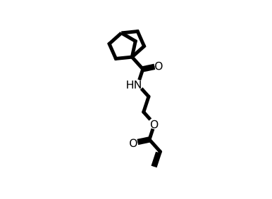 C=CC(=O)OCCNC(=O)C12CCC(CC1)C2